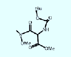 COC(=O)C(NC(=O)OC(C)(C)C)C(=O)N(C)OC